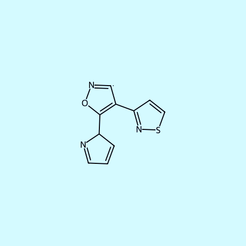 [c]1noc(C2C=CC=N2)c1-c1ccsn1